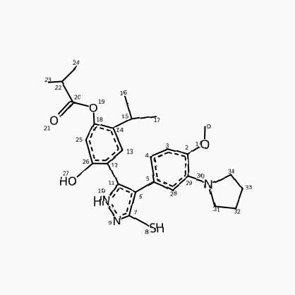 COc1ccc(-c2c(S)n[nH]c2-c2cc(C(C)C)c(OC(=O)C(C)C)cc2O)cc1N1CCCC1